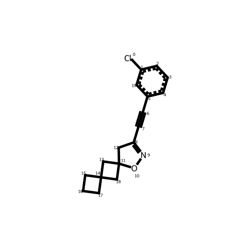 Clc1cccc(C#CC2=NOC3(C2)CC2(CCC2)C3)c1